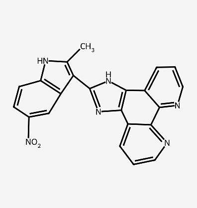 Cc1[nH]c2ccc([N+](=O)[O-])cc2c1-c1nc2c3cccnc3c3ncccc3c2[nH]1